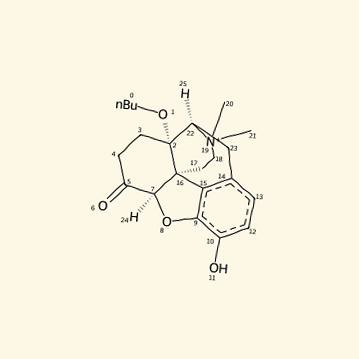 CCCCO[C@@]12CCC(=O)[C@@H]3Oc4c(O)ccc5c4[C@@]31CC[N+](C)(C)[C@@H]2C5